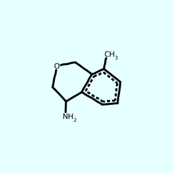 Cc1cccc2c1COCC2N